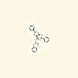 NC(=O)C(Cc1ccccc1)Nc1nc(-c2ccccc2)nc2c1CC(c1ccccc1)N2